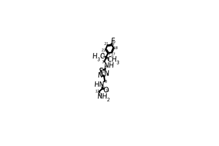 CC(C)(CNc1nc(CNC(=O)CN)ns1)c1ccc(F)cc1